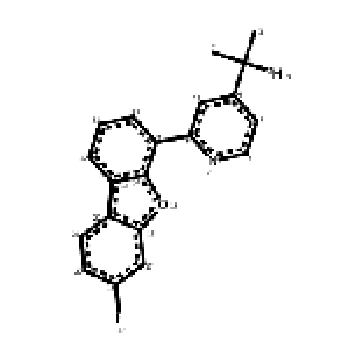 [2H]C(C)(C)c1ccnc(-c2cccc3c2oc2cc(F)ccc23)c1